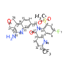 CS(=O)(=O)c1cc(F)ccc1N(Cc1ccc2c3c(c(N)nc2c1)COC3)C(=O)c1ccc(C(F)(F)F)nc1